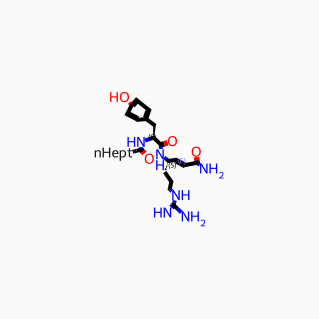 CCCCCCCC(=O)N[C@@H](Cc1ccc(O)cc1)C(=O)N[C@H](/C=C/C(N)=O)CCCNC(=N)N